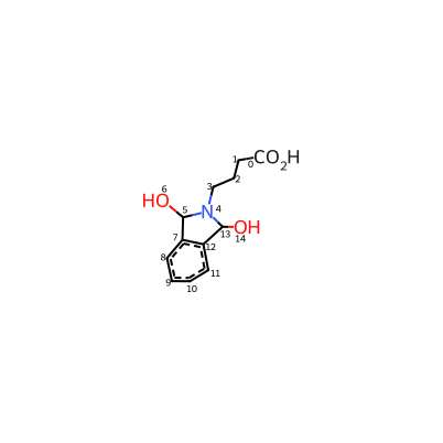 O=C(O)CCCN1C(O)c2ccccc2C1O